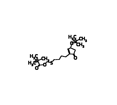 C[Si](C)(C)OC1C=C(CCCCSCOC(=O)[Si](C)(C)C)C(=O)C1